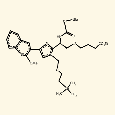 CCOC(=O)CCCOC[C@H](NC(=O)OC(C)(C)C)c1nc(-c2cc3ccccc3nc2OC)cn1COCC[Si](C)(C)C